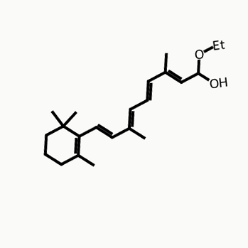 CCOC(O)C=C(C)C=CC=C(C)C=CC1=C(C)CCCC1(C)C